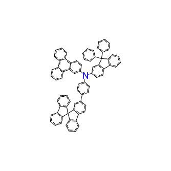 c1ccc(C2(c3ccccc3)c3ccccc3-c3ccc(N(c4ccc(-c5ccc6c(c5)C5(c7ccccc7-c7ccccc75)c5ccccc5-6)cc4)c4ccc5c6ccccc6c6ccccc6c5c4)cc32)cc1